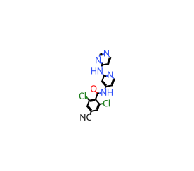 N#Cc1cc(Cl)c(C(=O)Nc2ccnc(Nc3ccncn3)c2)c(Cl)c1